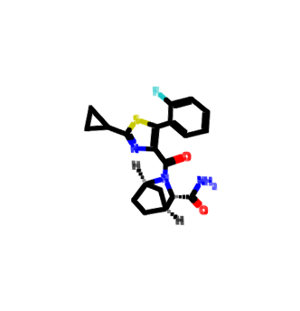 NC(=O)[C@@H]1[C@H]2CC[C@H](C2)N1C(=O)c1nc(C2CC2)sc1-c1ccccc1F